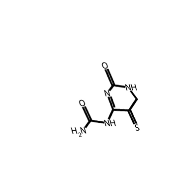 NC(=O)NC1=NC(=O)NCC1=S